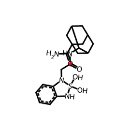 NC(=O)C12CC3CC(C1)C(NC(=O)CN1c4ccccc4NS1(O)O)C(C3)C2